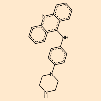 c1ccc2c(Nc3ccc(N4CCNCC4)cc3)c3ccccc3nc2c1